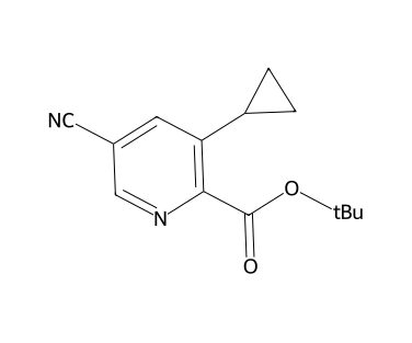 CC(C)(C)OC(=O)c1ncc(C#N)cc1C1CC1